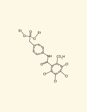 CCOP(=O)(Cc1ccc(NC(=O)c2c(Cl)c(Cl)c(Cl)c(Cl)c2C(=O)O)cc1)OCC